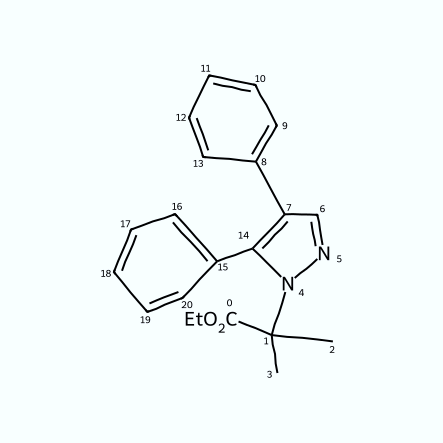 CCOC(=O)C(C)(C)n1ncc(-c2ccccc2)c1-c1ccccc1